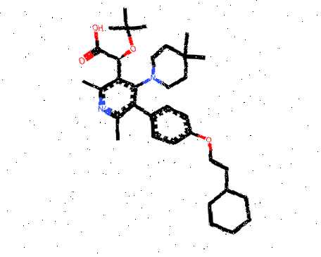 Cc1nc(C)c([C@H](OC(C)(C)C)C(=O)O)c(N2CCC(C)(C)CC2)c1-c1ccc(OCCC2CCCCC2)cc1